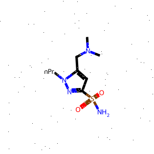 CCCn1nc(S(N)(=O)=O)cc1CN(C)C